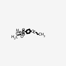 C=C(C)C(=O)NS(=O)(=O)c1ccc(OCCCC)cc1